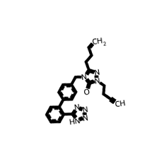 C#CCCn1nc(CCC=C)n(Cc2ccc(-c3ccccc3-c3nnn[nH]3)cc2)c1=O